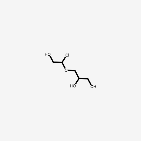 OCC(O)COC(Cl)CO